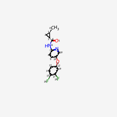 C[C@@H]1C[C@H]1C(=O)Nc1ccc(Oc2ccc(F)c(F)c2)cn1